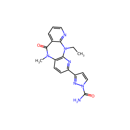 CCN1c2ncccc2C(=O)N(C)c2ccc(-c3ccn(C(N)=O)n3)nc21